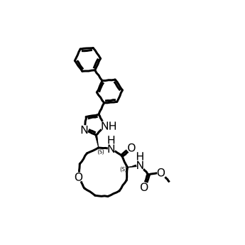 COC(=O)N[C@H]1CCCCCOCC[C@@H](c2ncc(-c3cccc(-c4ccccc4)c3)[nH]2)NC1=O